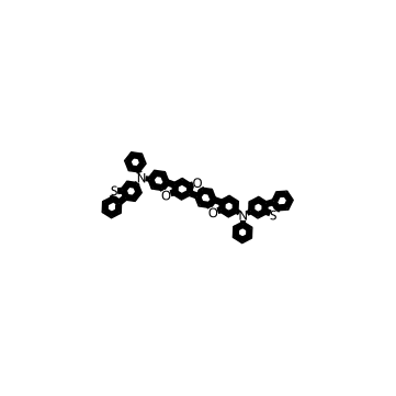 c1ccc(N(c2ccc3c(c2)oc2cc4c(cc23)oc2cc3c(cc24)oc2cc(N(c4ccccc4)c4ccc5c(c4)sc4ccccc45)ccc23)c2ccc3c(c2)sc2ccccc23)cc1